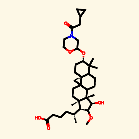 COC1[C@H]([C@H](C)CCCC(=O)O)[C@@]2(C)CCC34C[C@@]35CC[C@H](OC3CN(C(=O)CC6CC6)CCO3)C(C)(C)C5CCC4[C@]2(C)[C@H]1O